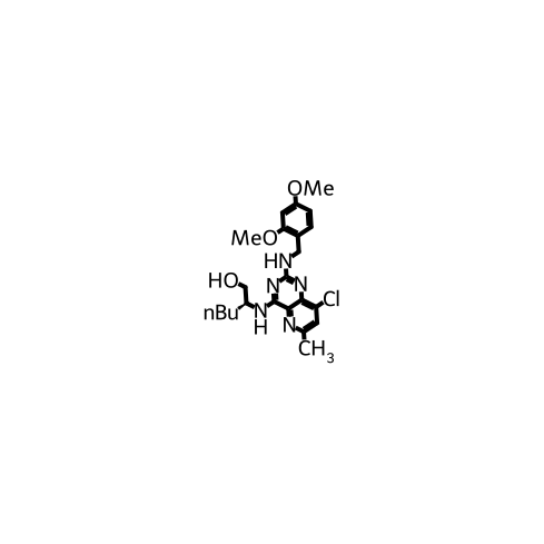 CCCC[C@@H](CO)Nc1nc(NCc2ccc(OC)cc2OC)nc2c(Cl)cc(C)nc12